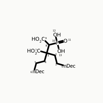 CCCCCCCCCCCCC(CCCCCCCCCCCC)(C(=O)O)C(C(=O)O)P(=O)(O)O